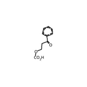 O=C(O)OCCC(=O)c1ccccc1